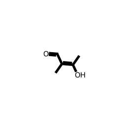 CC(O)=C(C)C=O